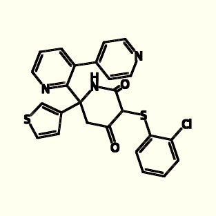 O=C1CC(c2ccsc2)(c2ncccc2-c2ccncc2)NC(=O)C1Sc1ccccc1Cl